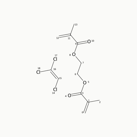 C=C(C)C(=O)OCCOC(=O)C(=C)C.ClC=C(Cl)Cl